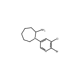 NC1CCCCCN1c1cnc(Br)c(Cl)c1